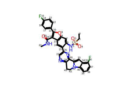 CCS(=O)(=O)Nc1cc2oc(-c3ccc(F)cc3)c(C(=O)NC)c2cc1-c1cnc2c(n1)-c1cc3c(F)cccc3n1CC2